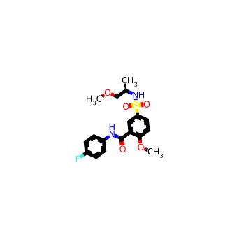 COC[C@@H](C)NS(=O)(=O)c1ccc(OC)c(C(=O)Nc2ccc(F)cc2)c1